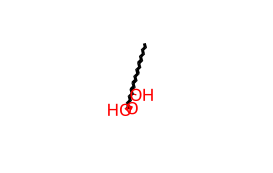 CCCCC/C=C/C/C=C/C/C=C/C=C/[C@@H](O)CCCC(=O)O